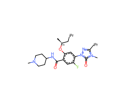 CC(C)C[C@H](C)Oc1cc(-n2nc(C(C)C)n(C)c2=O)c(F)cc1C(=O)NC1CCN(C)CC1